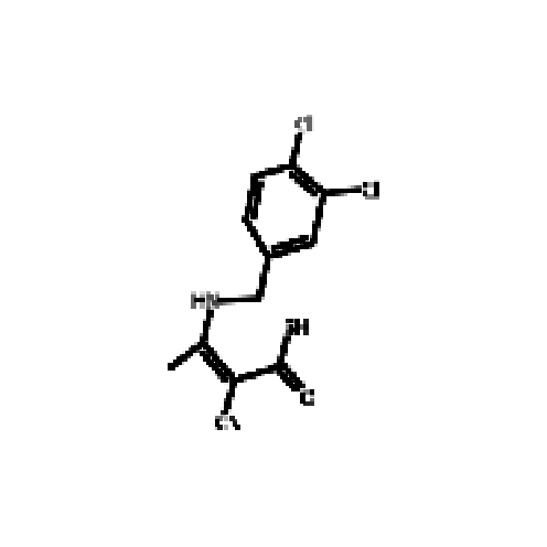 CC(NCc1ccc(Cl)c(Cl)c1)=C(C#N)C(=O)S